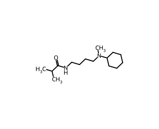 CC(C)C(=O)NCCCCN(C)C1CCCCC1